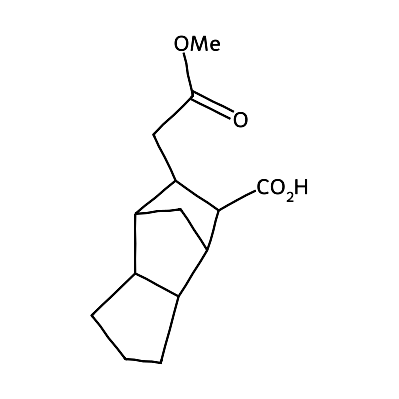 COC(=O)CC1C2CC(C3CCCC23)C1C(=O)O